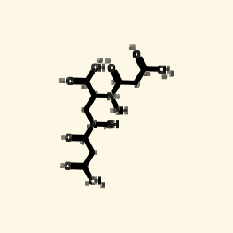 CC(=O)CC(=O)N(S)CC(C(=O)O)N(S)C(=O)CC(C)=O